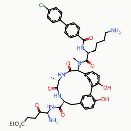 CCOC(=O)CCC(=O)[C@H](N)NC(=O)[C@@H]1Cc2ccc(O)c(c2)-c2cc(ccc2O)[C@H](N(C)C(=O)[C@H](CCCCN)NC(=O)c2ccc(-c3ccc(Cl)cc3)cc2)C(=O)N[C@@H](C)C(=O)N1